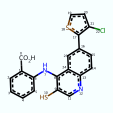 O=C(O)c1ccccc1Nc1c(S)cnc2ccc(-c3sccc3Cl)cc12